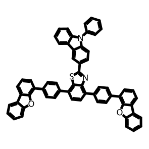 c1ccc(-n2c3ccccc3c3cc(-c4nc5c(-c6ccc(-c7cccc8c7oc7ccccc78)cc6)ccc(-c6ccc(-c7cccc8c7oc7ccccc78)cc6)c5s4)ccc32)cc1